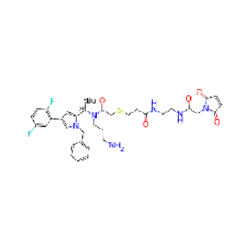 CC(C)(C)[C@H](c1cc(-c2cc(F)ccc2F)cn1Cc1ccccc1)N(CCCN)C(=O)CSCCC(=O)NCCNC(=O)CN1C(=O)C=CC1=O